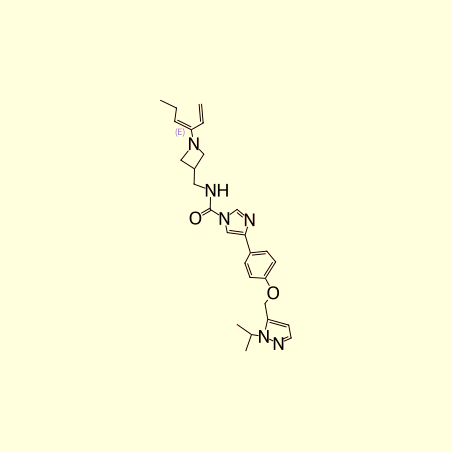 C=C/C(=C\CC)N1CC(CNC(=O)n2cnc(-c3ccc(OCc4ccnn4C(C)C)cc3)c2)C1